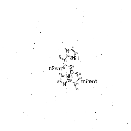 C=C(c1ncc[nH]1)C(CCCCC)SOSC(CCCCC)C(=C)c1ncc[nH]1